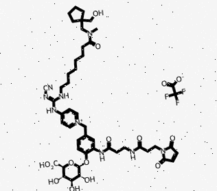 CN(CC1(CO)CCCC1)C(=O)CCCCCCCN/C(=N\C#N)Nc1cc[n+](Cc2ccc(O[C@@H]3O[C@H](C(=O)O)[C@@H](O)[C@H](O)[C@H]3O)c(NC(=O)CCNC(=O)CCN3C(=O)C=CC3=O)c2)cc1.O=C([O-])C(F)(F)F